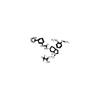 COc1ccc([C@@]23CC[C@@H](NC(=O)Nc4cccc(-c5nnn[nH]5)c4)C[C@@H]2N(C)CC3)cc1OC.O=C(O)C(F)(F)F